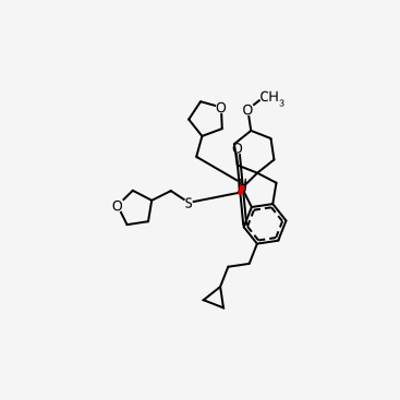 COC1CCC2(CC1)Cc1ccc(CCC3CC3)cc1C21N=C(SCC2CCOC2)N(CC2CCOC2)C1=O